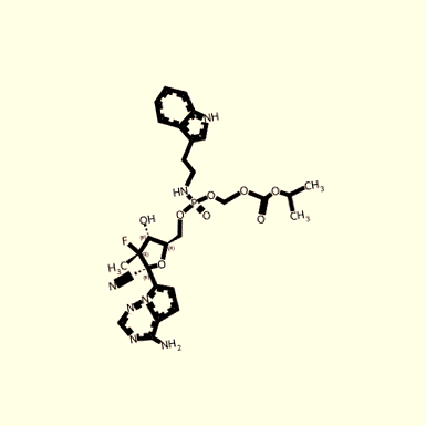 CC(C)OC(=O)OCOP(=O)(NCCc1c[nH]c2ccccc12)OC[C@H]1O[C@@](C#N)(c2ccc3c(N)ncnn23)[C@](C)(F)[C@@H]1O